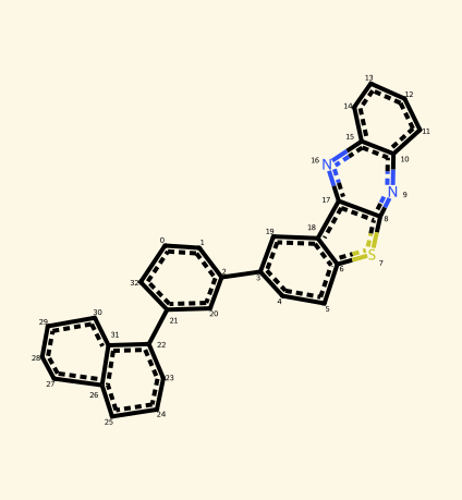 c1cc(-c2ccc3sc4nc5ccccc5nc4c3c2)cc(-c2cccc3ccccc23)c1